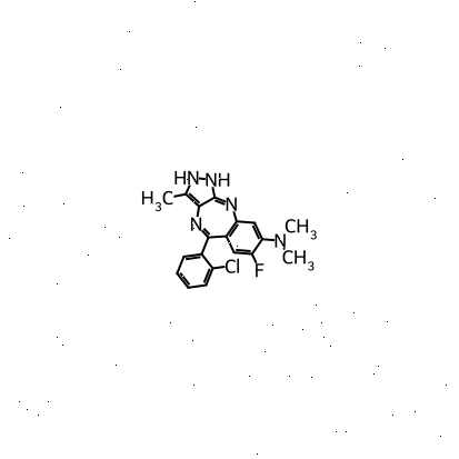 CC1=C2N=C(c3ccccc3Cl)c3cc(F)c(N(C)C)cc3N=C2NN1